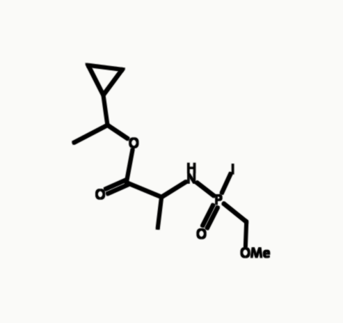 COCP(=O)(I)NC(C)C(=O)OC(C)C1CC1